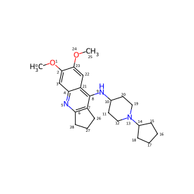 COc1cc2nc3c(c(NC4CCN(C5CCCC5)CC4)c2cc1OC)CCC3